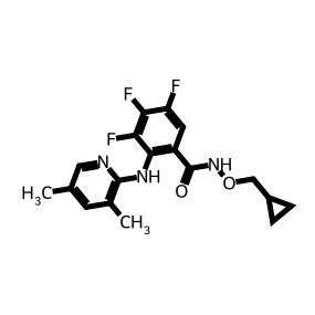 Cc1cnc(Nc2c(C(=O)NOCC3CC3)cc(F)c(F)c2F)c(C)c1